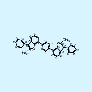 Cc1sc2c(-c3ccc(-c4cccc5c4SC(C)C5c4ccccc4)cc3)cccc2c1-c1ccccc1